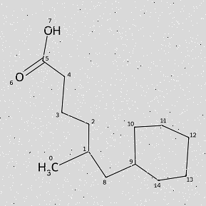 CC(CCCC(=O)O)CC1CCCCC1